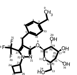 CCc1ccc(Cc2c(O[C@@H]3O[C@H](CO)[C@@H](O)[C@H](O)[C@H]3O)nn(C3CCC3)c2C(F)(F)F)cc1